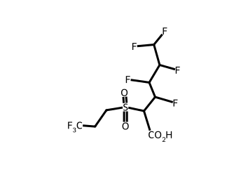 O=C(O)C(C(F)C(F)C(F)C(F)F)S(=O)(=O)CCC(F)(F)F